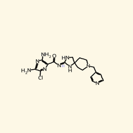 Nc1nc(N)c(C(=O)/N=C2\NCC3(CCN(Cc4ccncc4)CC3)N2)nc1Cl